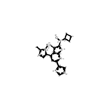 Cc1ncc(-c2cc(-c3cncs3)nc3sc([S+]([O-])C4CCC4)c(N)c23)n1C